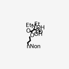 CCCCCCCCCCCCOC(=O)C(N(CC)CC)P(=O)(O)O